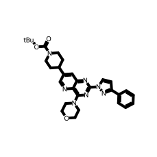 CC(C)(C)OC(=O)N1CCC(c2cnc3c(N4CCOCC4)nc(-n4ccc(-c5ccccc5)n4)nc3c2)CC1